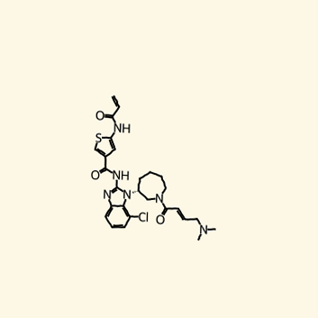 C=CC(=O)Nc1cc(C(=O)Nc2nc3cccc(Cl)c3n2[C@@H]2CCCCN(C(=O)/C=C/CN(C)C)C2)cs1